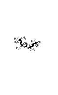 CC(C)(C)C=CC(C)(C)OC(=O)OC(C)(C)C=CC(C)(C)C